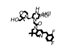 C[C@@H]1CN(CC(=O)N2CC(C)(C)c3cnc(Cc4ccc(F)cc4F)cc32)[C@@H](CN2CCOC[C@@]2(C)CO)CN1.Cl.Cl